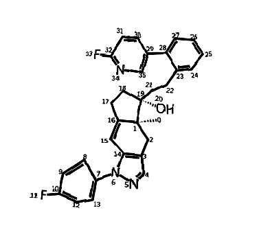 C[C@]12Cc3cnn(-c4ccc(F)cc4)c3C=C1CC[C@@]2(O)CCc1ccccc1-c1ccc(F)nc1